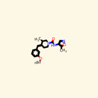 CCCCOc1cccc(C=C2CCN(C(=O)Nc3cnoc3C)CC2C)c1